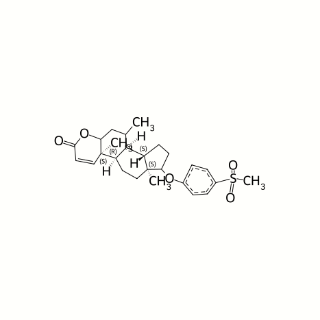 CC1CC2OC(=O)C=C[C@]2(C)[C@@H]2CC[C@]3(C)C(Oc4ccc(S(C)(=O)=O)cc4)CC[C@H]3[C@H]12